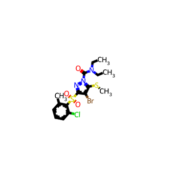 CCN(CC)C(=O)n1nc(S(=O)(=O)c2c(C)cccc2Cl)c(Br)c1SC